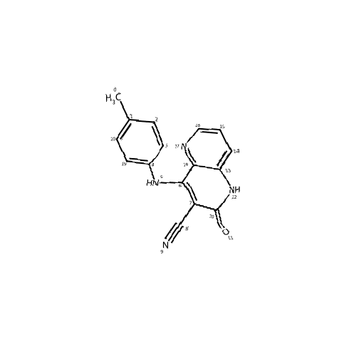 Cc1ccc(Nc2c(C#N)c(=O)[nH]c3cccnc23)cc1